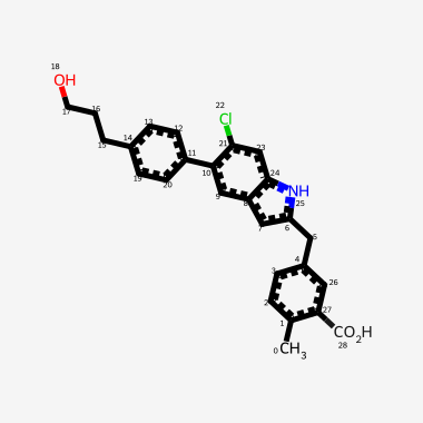 Cc1ccc(Cc2cc3cc(-c4ccc(CCCO)cc4)c(Cl)cc3[nH]2)cc1C(=O)O